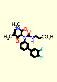 CC1=CN(C)C(=O)[C@@H](N(C(=O)NCCC(=O)O)c2cccc(-c3ccc(F)c(F)c3)c2)C1=O